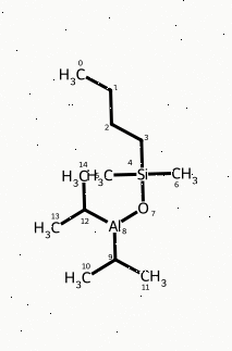 CCCC[Si](C)(C)[O][Al]([CH](C)C)[CH](C)C